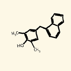 Cc1cc(Cc2cccc3ccccc23)cc(C)c1O